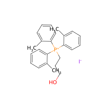 Cc1ccccc1[P+](CCCO)(c1ccccc1C)c1ccccc1C.[I-]